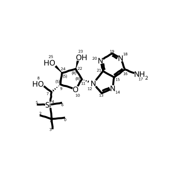 CC(C)(C)[Si](C)(C)C(O)[C@H]1O[C@@H](n2cnc3c(N)ncnc32)[C@H](O)[C@@H]1O